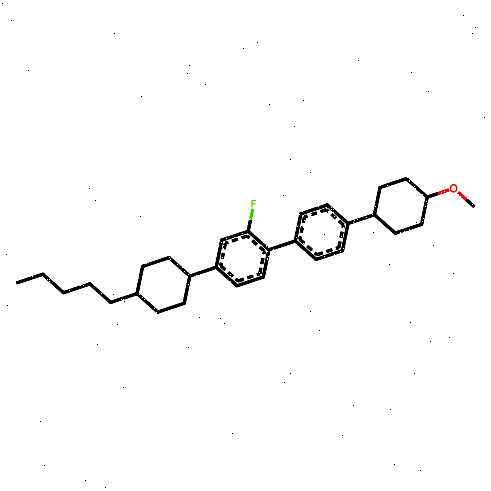 CCCCCC1CCC(c2ccc(-c3ccc(C4CCC(OC)CC4)cc3)c(F)c2)CC1